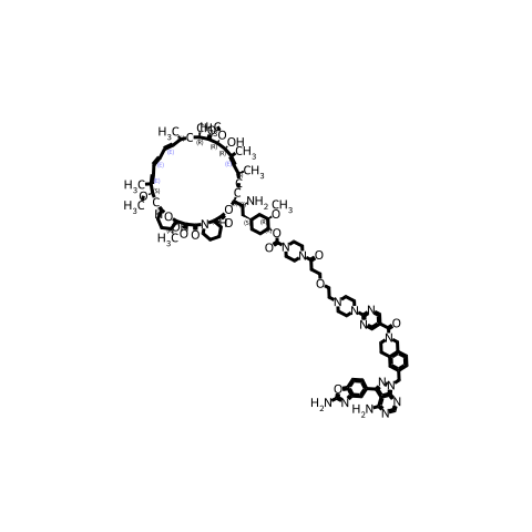 CO[C@H]1C[C@@H]2CC[C@@H](C)[C@@](O)(O2)C(=O)C(=O)N2CCCC[C@H]2C(=O)O[C@H]([C@H](N)C[C@@H]2CC[C@@H](OC(=O)N3CCN(C(=O)CCOCCN4CCN(c5ncc(C(=O)N6CCc7cc(Cn8nc(-c9ccc%10oc(N)nc%10c9)c9c(N)ncnc98)ccc7C6)cn5)CC4)CC3)[C@H](OC)C2)CC[C@H](C)/C=C(\C)[C@@H](O)[C@@H](OC)C(=O)[C@H](C)C[C@H](C)/C=C/C=C/C=C/1C